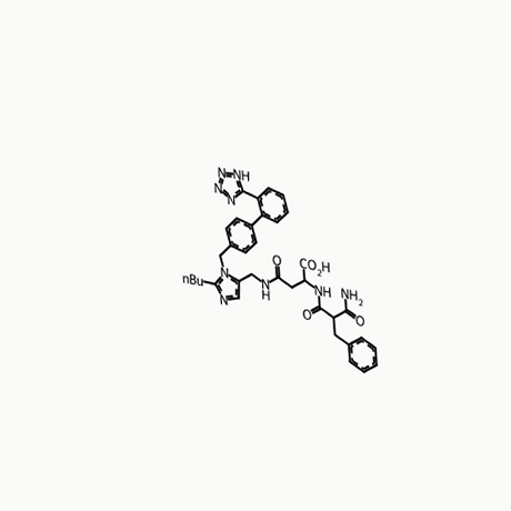 CCCCc1ncc(CNC(=O)CC(NC(=O)C(Cc2ccccc2)C(N)=O)C(=O)O)n1Cc1ccc(-c2ccccc2-c2nnn[nH]2)cc1